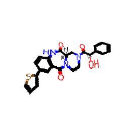 O=C1Nc2ccc(-c3cccs3)cc2C(=O)N2CCN(C(=O)[C@@H](O)c3ccccc3)C[C@H]12